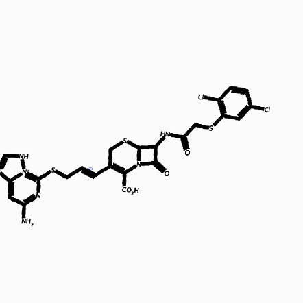 Nc1cc2nc[nH][n+]2c(SC/C=C/C2=C(C(=O)O)N3C(=O)C(NC(=O)CSc4cc(Cl)ccc4Cl)C3SC2)n1